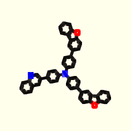 c1ccc2ncc(-c3ccc(N(c4ccc(-c5ccc6oc7ccccc7c6c5)cc4)c4ccc(-c5ccc6oc7ccccc7c6c5)cc4)cc3)cc2c1